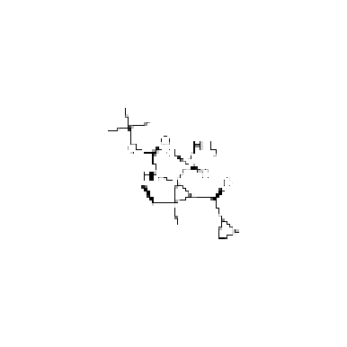 C=C[C@@]1(C)C(C(=O)C2CC2)[C@@]1(NC(=O)OC(C)(C)C)S(N)(=O)=O